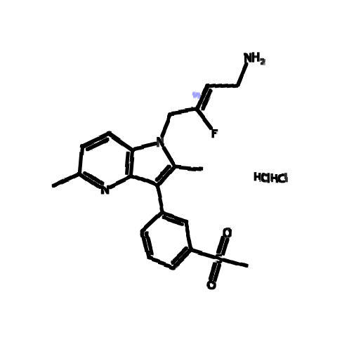 Cc1ccc2c(n1)c(-c1cccc(S(C)(=O)=O)c1)c(C)n2C/C(F)=C/CN.Cl.Cl